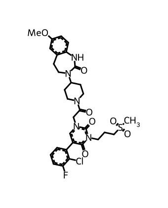 COc1ccc2c(c1)CCN(C1CCN(C(=O)Cn3cc(-c4cccc(F)c4Cl)c(=O)n(CCCS(C)(=O)=O)c3=O)CC1)C(=O)N2